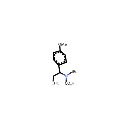 COc1ccc(C(CC=O)N(C(=O)O)C(C)(C)C)cc1